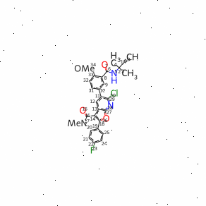 C#CC(C)(C)NC(=O)c1cc(-c2cc3c(C(=O)NC)c(-c4ccc(F)cc4)oc3nc2Cl)ccc1OC